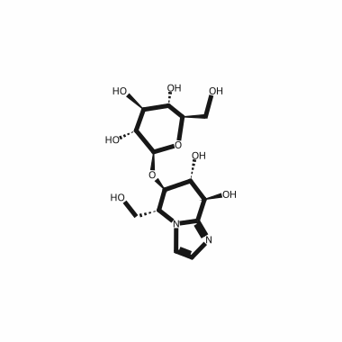 OC[C@@H]1[C@@H](O[C@@H]2O[C@H](CO)[C@@H](O)[C@H](O)[C@H]2O)[C@H](O)[C@@H](O)c2nccn21